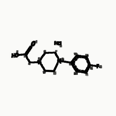 Cl.O=C(O)CN1CCN(c2ccc(F)cc2)CC1